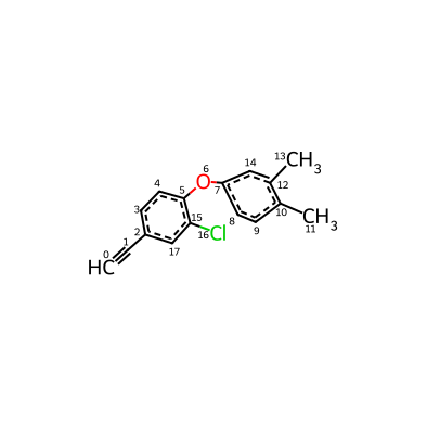 C#Cc1ccc(Oc2ccc(C)c(C)c2)c(Cl)c1